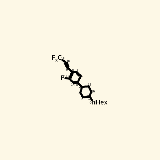 CCCCCCC1CCC(c2ccc(C#CC(F)(F)F)c(F)c2)CC1